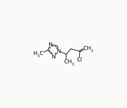 C=C(Cl)CC(C)n1cnc(C)n1